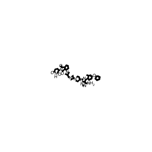 CC1C=C(Oc2ccccc2)C=CC1c1nn(C2CCN(C3CN(CC4CN(c5cccc6c5C(=O)N(C5CCC(=O)NC5=O)C6=O)C4)C3)CC2)c2ncnc(N)c12